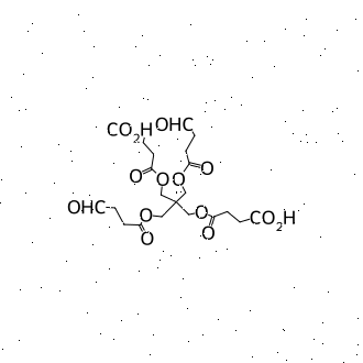 O=CCCC(=O)OCC(COC(=O)CCC=O)(COC(=O)CCC(=O)O)COC(=O)CCC(=O)O